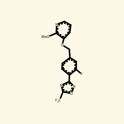 COc1ncccc1OCc1ccc(-c2noc(C(F)(F)F)n2)c(F)c1